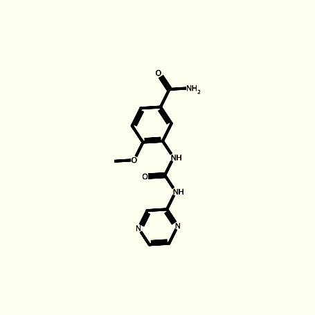 COc1ccc(C(N)=O)cc1NC(=O)Nc1cnccn1